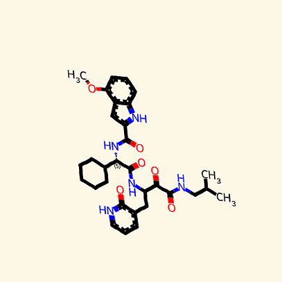 COc1cccc2[nH]c(C(=O)N[C@H](C(=O)NC(Cc3ccc[nH]c3=O)C(=O)C(=O)NCC(C)C)C3CCCCC3)cc12